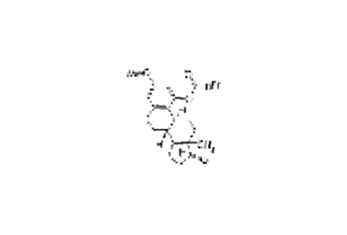 CCCC(=O)Oc1cc(OC)cc2c1[C@H]1CC[C@]3(C)C(=O)CC[C@H]3[C@@H]1CC2